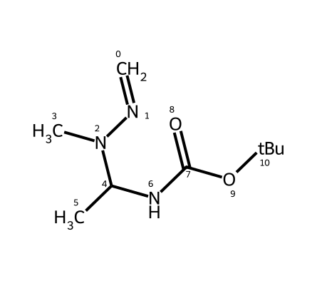 C=NN(C)C(C)NC(=O)OC(C)(C)C